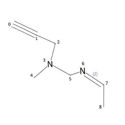 C#CCN(C)C/N=C\C